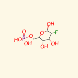 O=P(O)(O)OCC1O[C@@H](O)C(F)C(O)[C@@H]1O